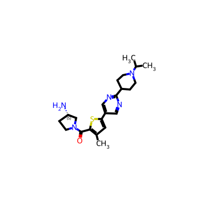 Cc1cc(-c2cnc(C3CCN(C(C)C)CC3)nc2)sc1C(=O)N1CC[C@H](N)C1